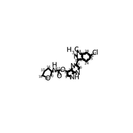 Cn1nc(-c2cnc3[nH]cc(OC(=O)NC4CCCOC4)c3n2)c2ccc(Cl)cc21